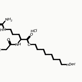 CCCCCCCCCCCCCCCCCCOC(=O)C(CCCNC(=N)N)NC(=O)CCCCCCCCCCC.Cl